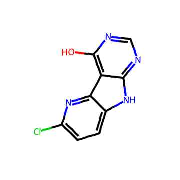 Oc1ncnc2[nH]c3ccc(Cl)nc3c12